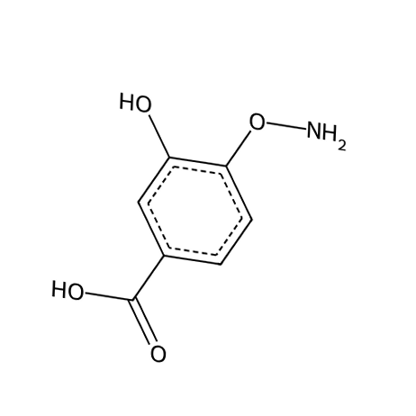 NOc1ccc(C(=O)O)cc1O